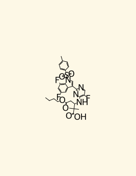 CCCCOC(=O)CC(Nc1nc(-c2cn(S(=O)(=O)c3ccc(C)cc3)c3c(F)cc(F)cc23)ncc1F)C(C)(C)C(=O)O